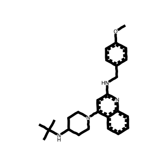 COc1ccc(CNc2cc(N3CCC(NC(C)(C)C)CC3)c3ccccc3n2)cc1